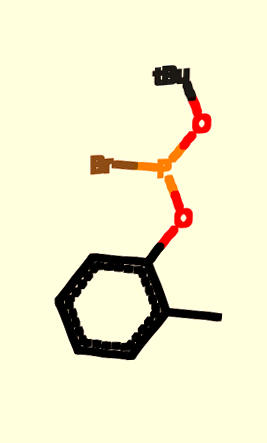 Cc1ccccc1OP(Br)OC(C)(C)C